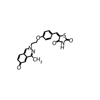 Cc1nn(CCOc2ccc(C=C3SC(=O)NC3=O)cc2)cc2ccc(=O)cc1-2